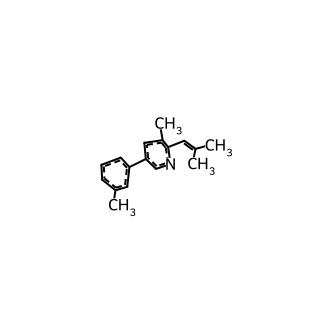 CC(C)=Cc1ncc(-c2cccc(C)c2)cc1C